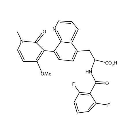 COc1ccn(C)c(=O)c1-c1ccc(CC(NC(=O)c2c(F)cccc2F)C(=O)O)c2cccnc12